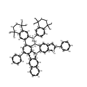 CC1(C)CCC(C)(C)c2cc(Nc3cc4c(cc3-c3cc(-c5ccccc5)c5c6cc7ccccc7cc6n6c5c3Bc3cc5cc(-c7ccccc7)oc5cc3-6)C(C)(C)CCC4(C)C)ccc21